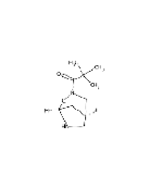 CC(C)(C)C(=O)N1C[C@H]2CN[C@H](C2)C1